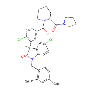 COc1ccc(CN2C(=O)C(C)(c3cc(C(=O)N4CCCCC4C(=O)N4CCCC4)ccc3Cl)c3cc(Cl)ccc32)c(OC)c1